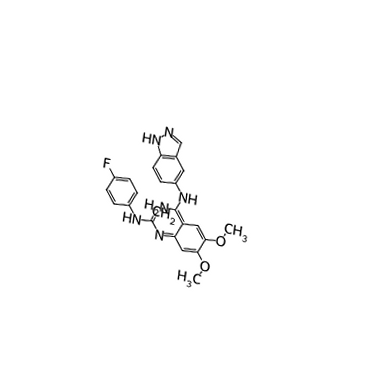 C=C(/N=C1/C=C(OC)C(OC)=C/C1=C(/N)Nc1ccc2[nH]ncc2c1)Nc1ccc(F)cc1